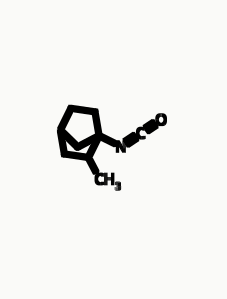 CC1CC2CCC1(N=C=O)C2